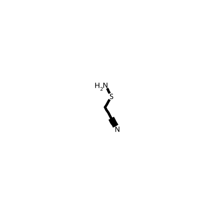 N#CCSN